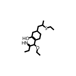 CCOC(C(=N)CC)C1=C(O)CC(CC(C)SCC)CC1